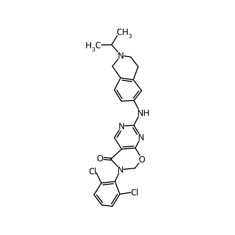 CC(C)N1CCc2cc(Nc3ncc4c(n3)OCN(c3c(Cl)cccc3Cl)C4=O)ccc2C1